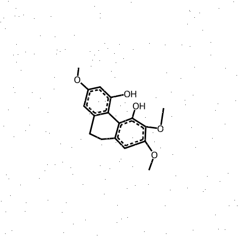 COc1cc(O)c2c(c1)CCc1cc(OC)c(OC)c(O)c1-2